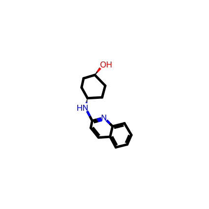 O[C@H]1CC[C@H](Nc2ccc3ccccc3n2)CC1